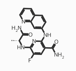 C[C@@H](Nc1nc(Nc2ccc3cccnc3c2)c(C(N)=O)cc1F)C(N)=O